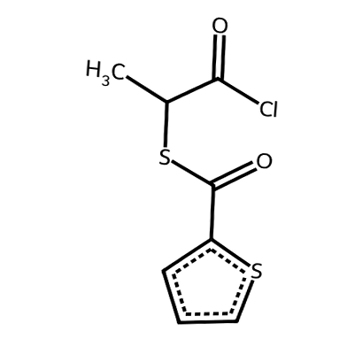 CC(SC(=O)c1cccs1)C(=O)Cl